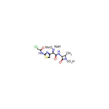 CO/N=C(/C(=O)NC1C(=O)N(S(=O)(=O)O)C1C)c1csc(NC(=O)CCl)n1.[NaH]